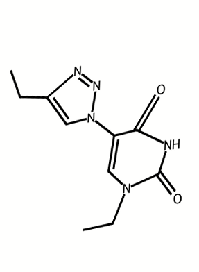 CCc1cn(-c2cn(CC)c(=O)[nH]c2=O)nn1